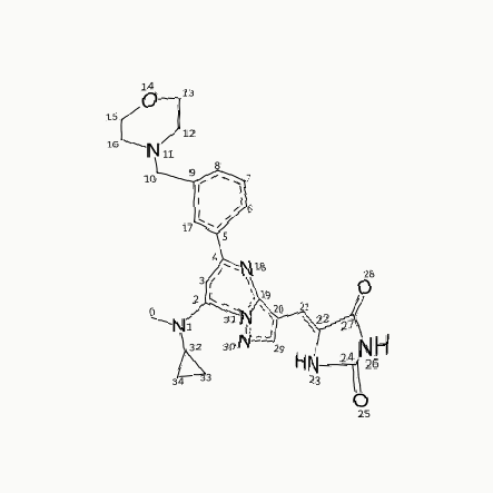 CN(c1cc(-c2cccc(CN3CCOCC3)c2)nc2c(/C=C3\NC(=O)NC3=O)cnn12)C1CC1